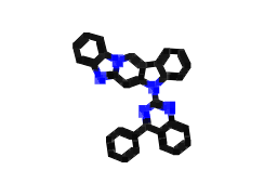 c1ccc(-c2nc(-n3c4ccccc4c4cn5c(cc43)nc3ccccc35)nc3ccccc23)cc1